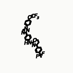 CC(F)(F)c1ccc(C2CCOC(Nc3ccc(-c4ncn(-c5ccc(OC(F)(F)F)cc5)n4)cc3)=N2)cc1